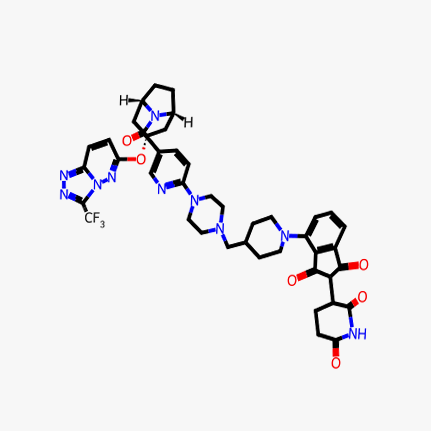 O=C1CCC(C2C(=O)c3cccc(N4CCC(CN5CCN(c6ccc(C(=O)N7[C@@H]8CC[C@H]7C[C@@H](Oc7ccc9nnc(C(F)(F)F)n9n7)C8)cn6)CC5)CC4)c3C2=O)C(=O)N1